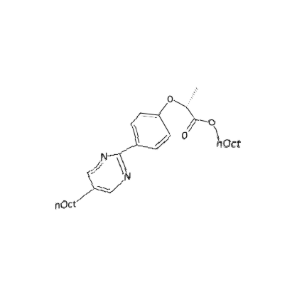 CCCCCCCCOC(=O)[C@@H](C)Oc1ccc(-c2ncc(CCCCCCCC)cn2)cc1